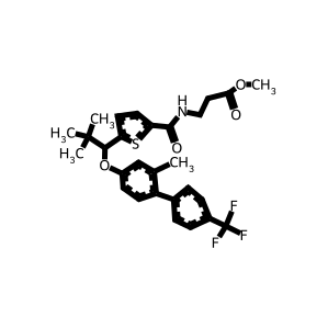 COC(=O)CCNC(=O)c1ccc(C(Oc2ccc(-c3ccc(C(F)(F)F)cc3)c(C)c2)C(C)(C)C)s1